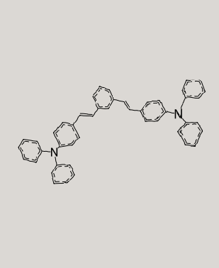 C(=Cc1cccc(C=Cc2ccc(N(c3ccccc3)c3ccccc3)cc2)c1)c1ccc(N(c2ccccc2)c2ccccc2)cc1